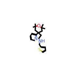 CC1(C)CC(CCNCc2cccs2)(c2ccccn2)CC(C)(C)O1